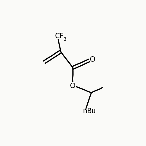 C=C(C(=O)OC(C)CCCC)C(F)(F)F